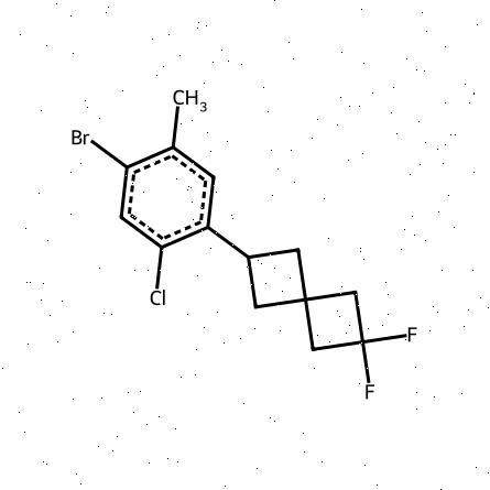 Cc1cc(C2CC3(C2)CC(F)(F)C3)c(Cl)cc1Br